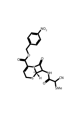 CSC(C#N)C(=O)NC1C(=O)N2C(C(=O)OCc3ccc([N+](=O)[O-])cc3)=CCS[C@@H]12